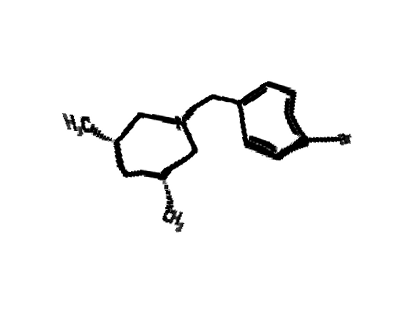 C[C@@H]1C[C@H](C)CN(Cc2ccc(Br)cc2)C1